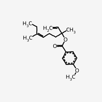 C=CC(C)(CCC=C(C)CC)OC(=O)c1ccc(OC)cc1